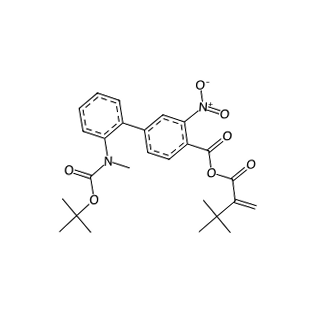 C=C(C(=O)OC(=O)c1ccc(-c2ccccc2N(C)C(=O)OC(C)(C)C)cc1[N+](=O)[O-])C(C)(C)C